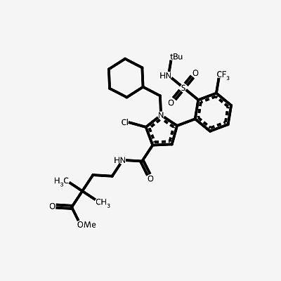 COC(=O)C(C)(C)CCNC(=O)c1cc(-c2cccc(C(F)(F)F)c2S(=O)(=O)NC(C)(C)C)n(CC2CCCCC2)c1Cl